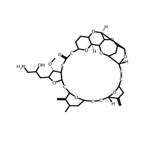 C=C1C(C)CC2CC[C@@H]3OC(CC[C@H]4OC5C6CC4OC4C(O6)[C@H]5OC5CCC(CC(=O)CC6C(CC1O2)OC(CC(O)CN)[C@@H]6OC)O[C@@H]54)CC3=C